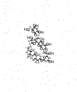 C=C[C@@]12CCC([C@H](C)CC[C@@H](O[C@@H]3O[C@H](CO[C@H]4O[C@H](CO)[C@@H](O)C[C@H]4O)C[C@H](O)C3O[C@H]3C[C@@H](O)CC(CO)O3)C(C)(C)O)[C@@]1(C)CC[C@@]1(C)C3CC[C@H](O[C@H]4C[C@@H](O)C[C@@H](CO)O4)C(C)(C)C3=CCC12